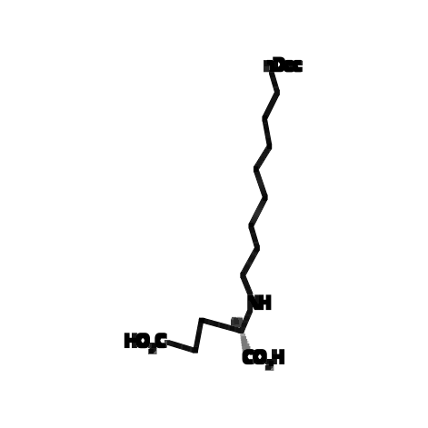 CCCCCCCCCCCCCCCCCCN[C@@H](CCC(=O)O)C(=O)O